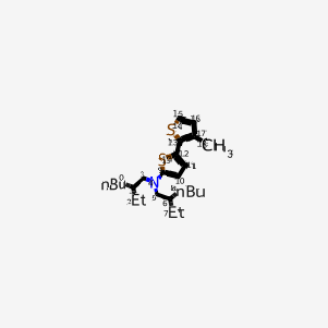 CCCCC(CC)CN(CC(CC)CCCC)c1ccc(-c2sccc2C)s1